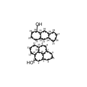 Oc1cc2cccc3ccc4cccc1c4c32.Oc1cccc2cc3ccccc3cc12